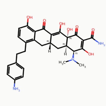 CN(C)[C@@H]1C(O)=C(C(N)=O)C(=O)[C@]2(O)C(O)=C3C(=O)c4c(O)ccc(CCc5ccc(N)cc5)c4C[C@H]3C[C@H]12